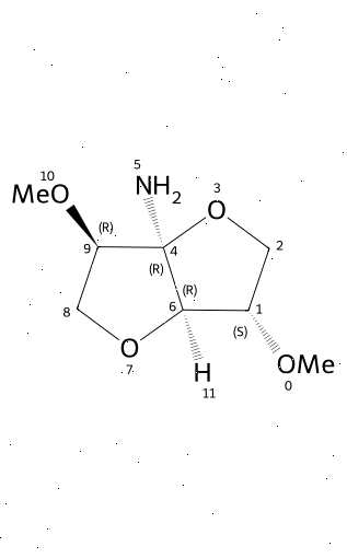 CO[C@H]1CO[C@@]2(N)[C@@H]1OC[C@H]2OC